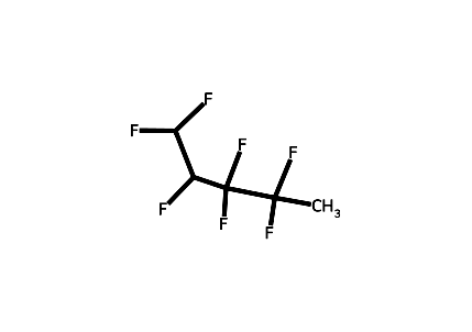 CC(F)(F)C(F)(F)C(F)[C](F)F